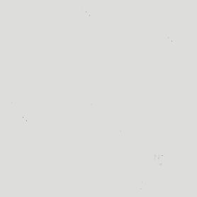 N#CC(C#N)=C1c2ccc([N+](=O)[O-])cc2-c2cc([N+](=O)[O-])ccc21